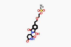 CS(=O)(=O)OCCOCCc1ccc2c(c1)C(=O)N(C1CCC(=O)NC1=O)C2O